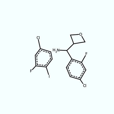 Fc1cc(Cl)ccc1I.NC(c1ccc(Cl)cc1F)C1COC1